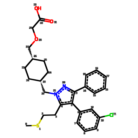 CSCCc1c(-c2cccc(Cl)c2)c(-c2ccccc2)nn1C[C@H]1CC[C@@H](COCC(=O)O)CC1